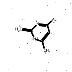 C=C1N=C(C(C)=O)C=C(C)N1